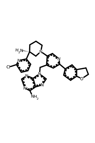 Nc1ncnc2c1ncn2Cc1cc(-c2ccc3c(c2)CCO3)ncc1N1CCC[C@](N)(c2cccc(Cl)n2)C1